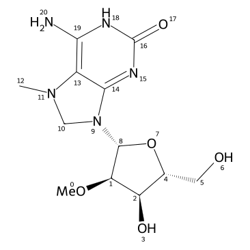 CO[C@@H]1[C@H](O)[C@@H](CO)O[C@H]1N1CN(C)c2c1nc(=O)[nH]c2N